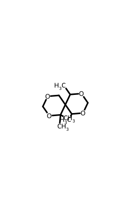 CC1OCOC(C)C12COCOC2(C)C